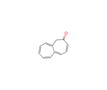 O=C1C=CC=C2C=CC=CC=C2C1